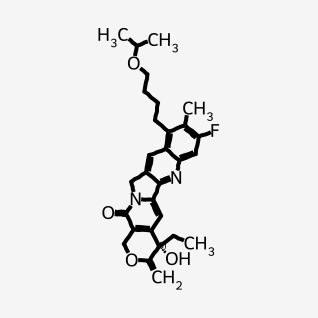 C=C1OCc2c(cc3n(c2=O)Cc2cc4c(CCCCOC(C)C)c(C)c(F)cc4nc2-3)[C@@]1(O)CC